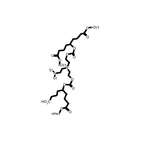 CCCCCCCCOC(=O)CCCC(CCCC(=O)OCCCCCCCC)OC(=O)OCCN(CCOC(=O)OC(CCCC(=O)O)CCCC(=O)OCCCCCC)CCN(CC)CC